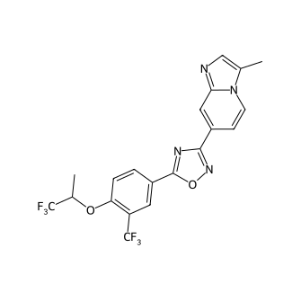 Cc1cnc2cc(-c3noc(-c4ccc(OC(C)C(F)(F)F)c(C(F)(F)F)c4)n3)ccn12